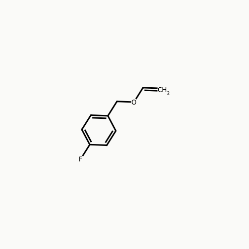 C=COCc1ccc(F)cc1